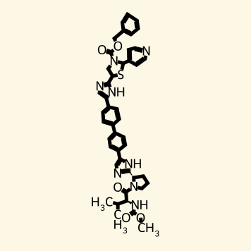 COC(=O)N[C@H](C(=O)N1CCC[C@H]1c1ncc(-c2ccc(-c3ccc(-c4cnc(C5CN(C(=O)OCc6ccccc6)C(c6ccncc6)S5)[nH]4)cc3)cc2)[nH]1)C(C)C